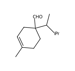 CC1=CCC(C=O)(C(C)C(C)C)CC1